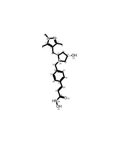 Cc1nn(C)c(C)c1C[C@H]1C[C@H](O)CN1Cc1ccc(/C=C/C(=O)NO)cc1